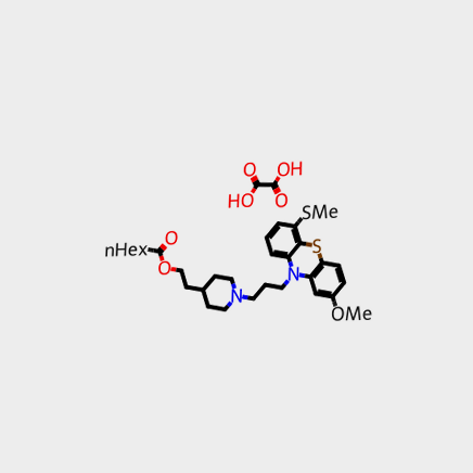 CCCCCCC(=O)OCCC1CCN(CCCN2c3cc(OC)ccc3Sc3c(SC)cccc32)CC1.O=C(O)C(=O)O